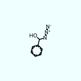 [N-]=[N+]=NC(O)c1ccccc1